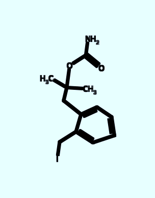 CC(C)(Cc1ccccc1CI)OC(N)=O